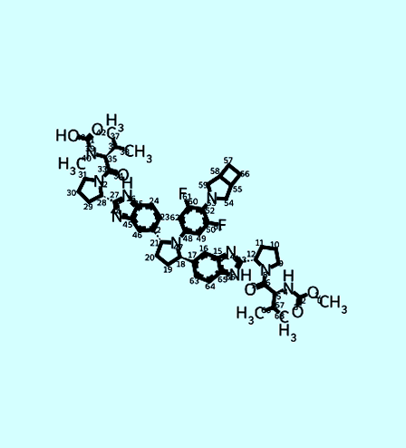 COC(=O)N[C@H](C(=O)N1CCC[C@H]1c1nc2cc([C@H]3CC[C@H](c4ccc5[nH]c([C@@H]6CCCN6C(=O)[C@H](C(C)C)N(C)C(=O)O)nc5c4)N3c3cc(F)c(N4CC5CCC5C4)c(F)c3)ccc2[nH]1)C(C)C